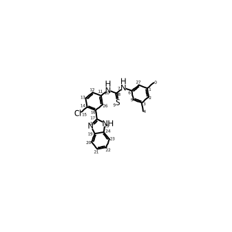 Cc1cc(C)cc(NC(=S)Nc2ccc(Cl)c(-c3nc4ccccc4[nH]3)c2)c1